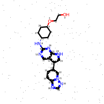 OCCO[C@H]1CC[C@H](Nc2ncc3c(-c4ccc5ncnn5c4)c[nH]c3n2)CC1